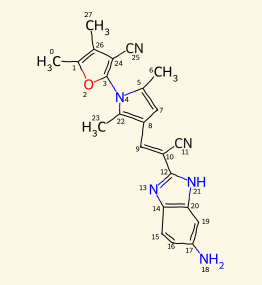 Cc1oc(-n2c(C)cc(/C=C(\C#N)c3nc4ccc(N)cc4[nH]3)c2C)c(C#N)c1C